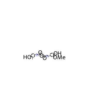 COc1cc(/C=C/C(=O)COC(=O)/C=C/c2ccc(O)c(C)c2)ccc1O